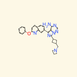 Nc1ncnn2c(C3CC(CN4CCC4)C3)nc(-c3ccc4ccc(Oc5ccccc5)nc4c3)c12